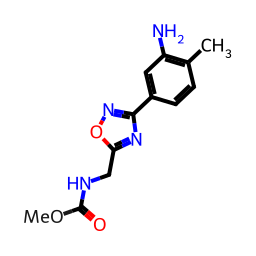 COC(=O)NCc1nc(-c2ccc(C)c(N)c2)no1